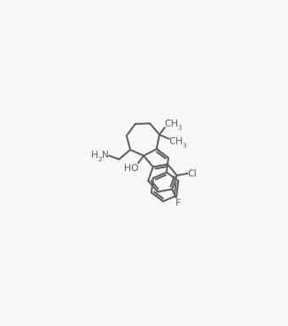 CC1(C)CCCC(CN)C(O)(c2ccc(F)c(Cl)c2)C1=Cc1ccccc1